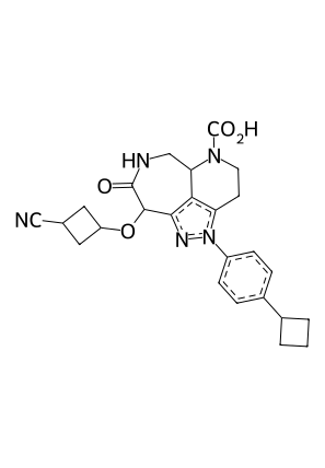 N#CC1CC(OC2C(=O)NCC3c4c2nn(-c2ccc(C5CCC5)cc2)c4CCN3C(=O)O)C1